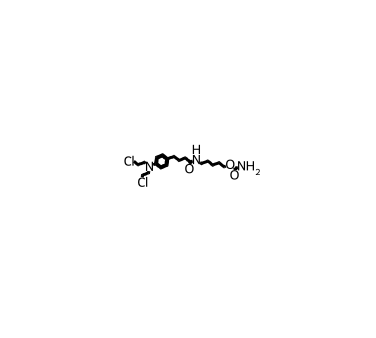 NC(=O)OCCCCCNC(=O)CCCc1ccc(N(CCCl)CCCl)cc1